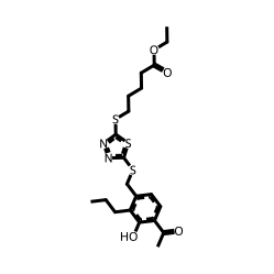 CCCc1c(CSc2nnc(SCCCCC(=O)OCC)s2)ccc(C(C)=O)c1O